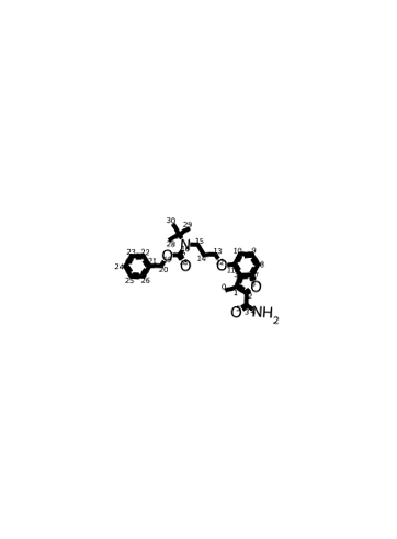 Cc1c(C(N)=O)oc2cccc(OCCCN(C(=O)OCc3ccccc3)C(C)(C)C)c12